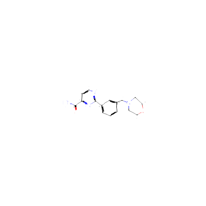 NC(=O)c1ccnc(-c2cccc(CN3CCOCC3)c2)n1